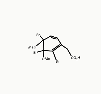 COC1(Br)C=CC(CC(=O)O)=C(Br)C1(Br)OC